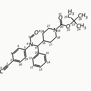 C#Cc1ccc(N(C=O)C(c2ccccc2)C2CCN(C(=O)OC(C)(C)C)CC2)cc1